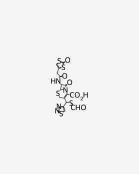 O=CSC(C1=C(C(=O)O)N2C(=O)C(NC(=O)Cc3csc(=O)s3)C2SC1)c1csnn1